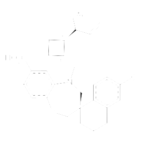 C=CC(OC(C)=O)[C@@H]1CC[C@H]1CN1C[C@@]2(CCCc3cc(Cl)ccc32)COc2ccc(C(=O)O)cc21